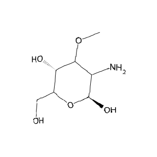 COC1C(N)[C@@H](O)OC(CO)[C@@H]1O